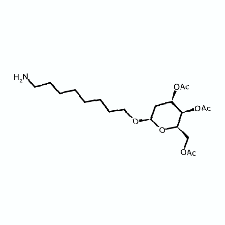 CC(=O)OC[C@H]1O[C@@H](OCCCCCCCCN)C[C@@H](OC(C)=O)[C@H]1OC(C)=O